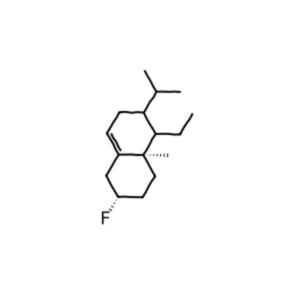 CCC1C(C(C)C)CC=C2C[C@@H](F)CC[C@@]21C